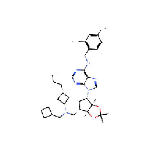 CCOC(=O)CC[C@H]1C[C@@H](N(CC2CCC2)C[C@H]2C[C@@H](n3cnc4c(NCc5ccc(OC)cc5OC)ncnc43)[C@@H]3OC(C)(C)O[C@H]23)C1